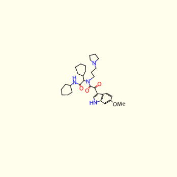 COc1ccc2c(C(=O)C(=O)N(CCCN3CCCC3)C(C(=O)NC3CCCCC3)C3CCCCC3)c[nH]c2c1